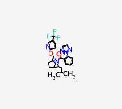 CC(C)CC1C2CCC(COc3ccc(C(F)(F)F)cn3)(C2)N1C(=O)c1ccccc1-n1nccn1